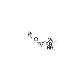 Nc1cc(Cc2cnn(Cc3cccc(CN4CCOCC4)c3)c2)c2nn[nH]c2n1